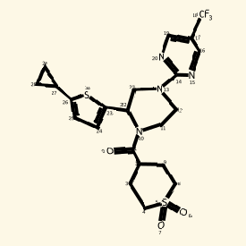 O=C(C1CCS(=O)(=O)CC1)N1CCN(c2ncc(C(F)(F)F)cn2)CC1c1ccc(C2CC2)s1